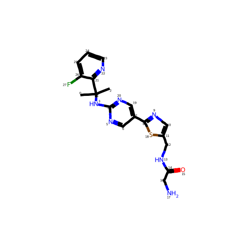 CC(C)(Nc1ncc(-c2ncc(CNC(=O)CN)s2)cn1)c1ncccc1F